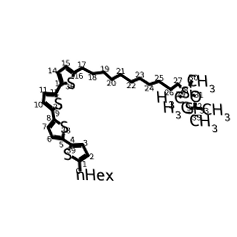 CCCCCCc1ccc(-c2ccc(-c3ccc(-c4ccc(CCCCCCCCCCC[Si](C)(C)O[Si](C)(C)C)s4)s3)s2)s1